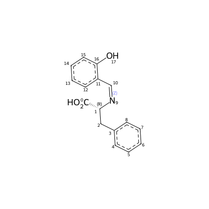 O=C(O)[C@@H](Cc1ccccc1)/N=C\c1ccccc1O